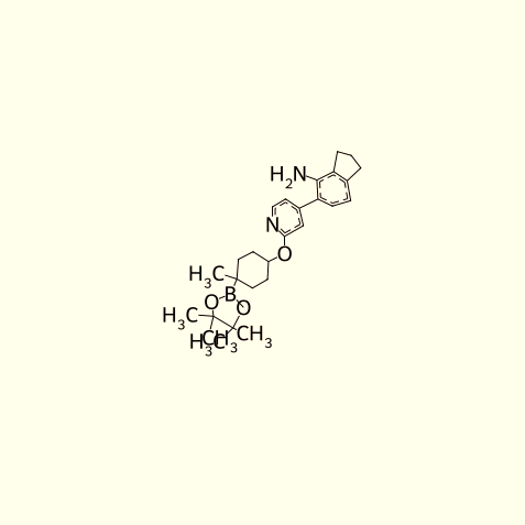 CC1(B2OC(C)(C)C(C)(C)O2)CCC(Oc2cc(-c3ccc4c(c3N)CCC4)ccn2)CC1